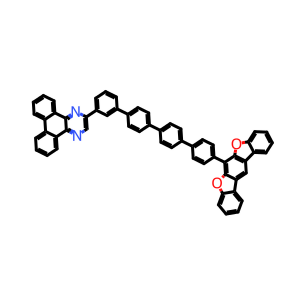 c1cc(-c2ccc(-c3ccc(-c4ccc(-c5c6oc7ccccc7c6cc6c5oc5ccccc56)cc4)cc3)cc2)cc(-c2cnc3c4ccccc4c4ccccc4c3n2)c1